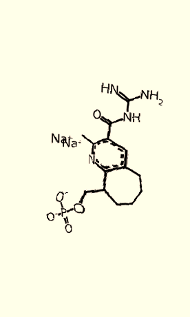 Cc1nc2c(cc1C(=O)NC(=N)N)CCCCC2COP(=O)([O-])[O-].[Na+].[Na+]